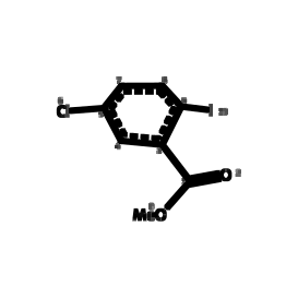 COC(=O)c1cc(Cl)ccc1I